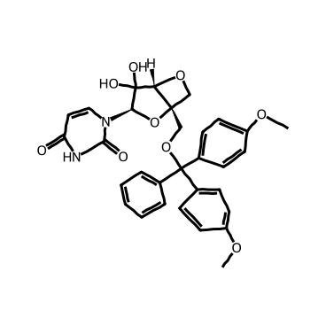 COc1ccc(C(OC[C@]23CO[C@H]2C(O)(O)[C@H](n2ccc(=O)[nH]c2=O)O3)(c2ccccc2)c2ccc(OC)cc2)cc1